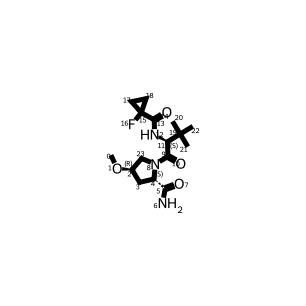 CO[C@@H]1C[C@@H](C(N)=O)N(C(=O)[C@@H](NC(=O)C2(F)CC2)C(C)(C)C)C1